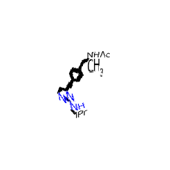 CC(=O)NC(C)Cc1ccc(C#Cc2ccnc(NCC(C)C)n2)cc1